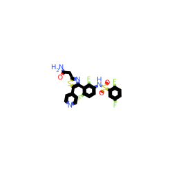 NC(=O)Cc1nc(-c2c(F)ccc(NS(=O)(=O)c3cc(F)ccc3F)c2F)c(-c2ccncc2)s1